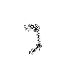 CC1(C)C(=O)N(c2ccc([N+](=O)[O-])c(C(F)(F)F)c2)C(=O)N1CCCCCCCCCCCS(=O)(=O)NCCCC(F)(F)C(F)(F)F